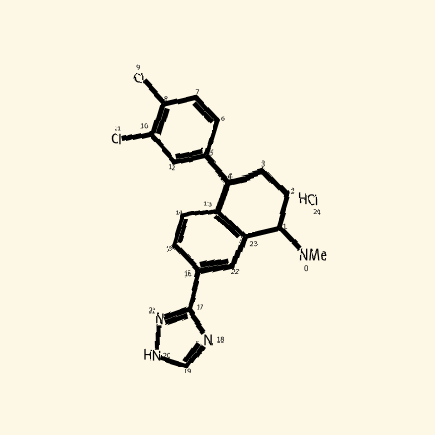 CNC1CCC(c2ccc(Cl)c(Cl)c2)c2ccc(-c3nc[nH]n3)cc21.Cl